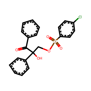 O=C(c1ccccc1)C(O)(COS(=O)(=O)c1ccc(Cl)cc1)c1ccccc1